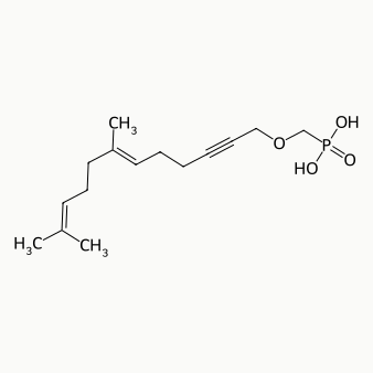 CC(C)=CCCC(C)=CCCC#CCOCP(=O)(O)O